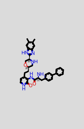 Cc1cc2nc([C@@H]3CO[C@H](CCc4cc[nH]c(=O)c4NC(=O)[C@@H](N)Cc4ccc(-c5ccccc5)cc4)CN3)[nH]c2cc1C